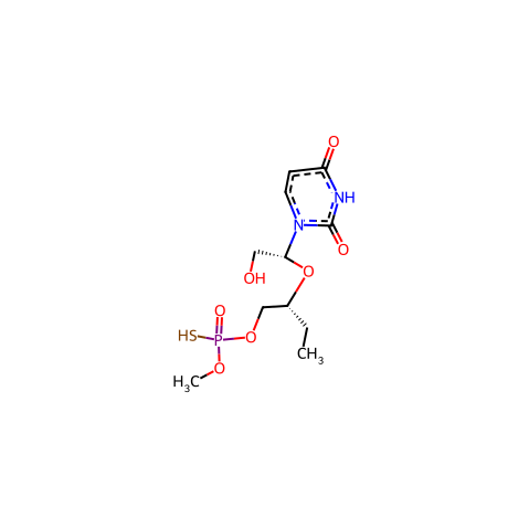 CC[C@H](COP(=O)(S)OC)O[C@H](CO)n1ccc(=O)[nH]c1=O